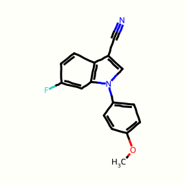 COc1ccc(-n2cc(C#N)c3ccc(F)cc32)cc1